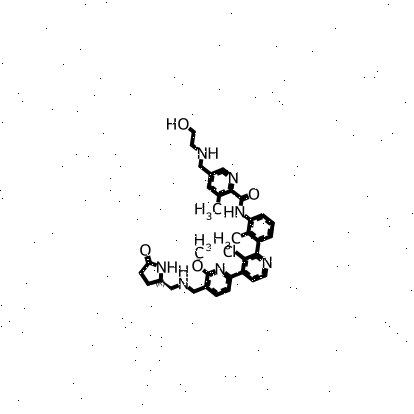 COc1nc(-c2ccnc(-c3cccc(NC(=O)c4ncc(CNCCO)cc4C)c3C)c2Cl)ccc1CNC[C@H]1CCC(=O)N1